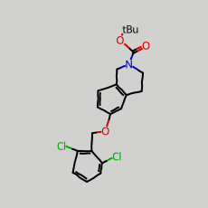 CC(C)(C)OC(=O)N1CCc2cc(OCc3c(Cl)cccc3Cl)ccc2C1